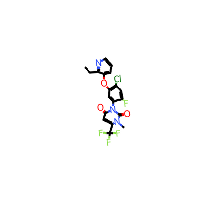 CCc1ncccc1Oc1cc(-n2c(=O)cc(C(F)(F)F)n(C)c2=O)c(F)cc1Cl